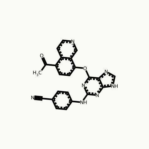 CC(=O)c1ccc(Oc2nc(Nc3ccc(C#N)cc3)nc3[nH]cnc23)c2cnccc12